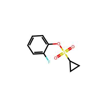 O=S(=O)(Oc1ccccc1F)C1CC1